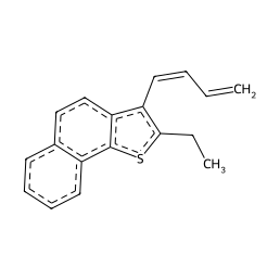 C=C/C=C\c1c(CC)sc2c1ccc1ccccc12